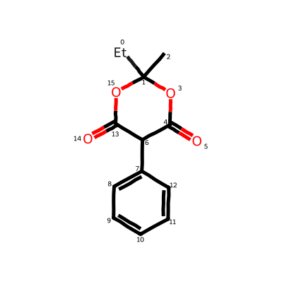 CCC1(C)OC(=O)C(c2ccccc2)C(=O)O1